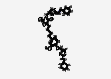 COc1cc(CCCCC2OC(=O)N(Cc3csc(/C=C/c4ccccc4)n3)C2=O)ccc1OCc1csc(/C=C/c2ccccc2)n1